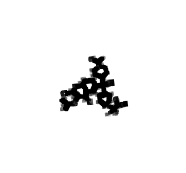 CC(=O)N1CCC(C(O)(c2ccccc2)c2ccc3nc(Cl)c(OC(C)C)c(Cl)c3c2)CC1.O=C(O)C(F)(F)F